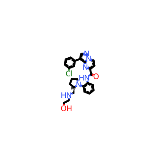 O=C(Nc1ccccc1N1CCC[C@@H]1CNCCO)c1ccn2ncc(-c3cccc(Cl)c3)c2n1